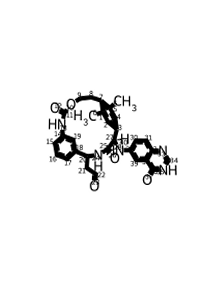 Cc1cc2cc(C)c1CCOC(=O)Nc1cccc(c1)C(CC=O)NC(=O)[C@@H]2Nc1ccc2nc[nH]c(=O)c2c1